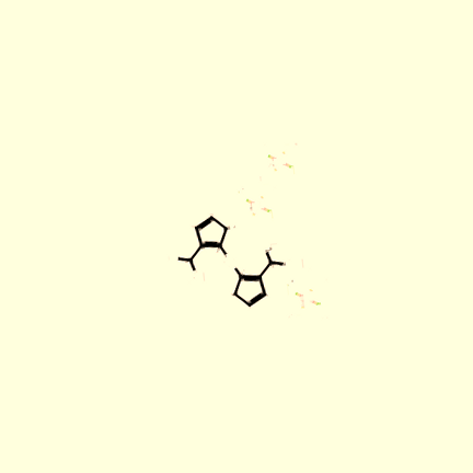 CC(C)C1=[C]([Cr+3][C]2=C(C(C)C)C=CC2)CC=C1.F[B-](F)(F)F.F[B-](F)(F)F.F[B-](F)(F)F